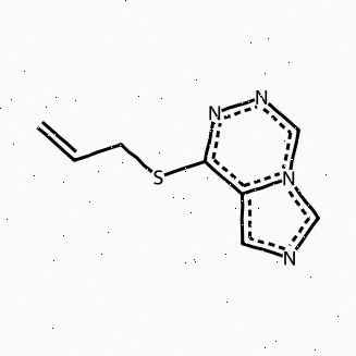 C=CCSc1nncn2cncc12